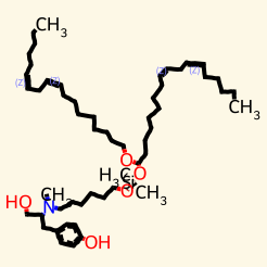 CCCCC/C=C\C/C=C\CCCCCCCCOC(CCCCCCC/C=C\C/C=C\CCCCC)O[Si](C)(C)OCCCCCCN(C)C(CO)Cc1ccc(O)cc1